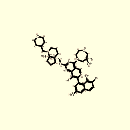 CCc1c(F)ccc2cc(O)cc(-c3ncc4c(N5CCOC[C@@](C)(O)C5)nc(OC[C@]56CCC[C@H]5N(CC5CCOCC5)CCC6)nc4c3F)c12